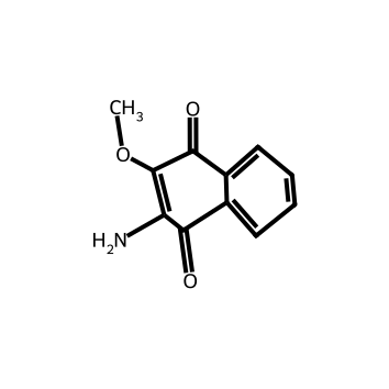 COC1=C(N)C(=O)c2ccccc2C1=O